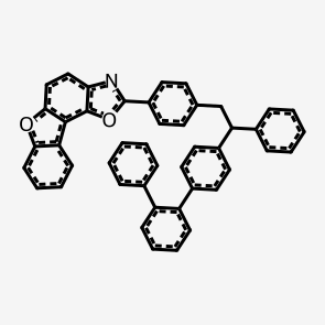 c1ccc(-c2ccccc2-c2ccc(C(Cc3ccc(-c4nc5ccc6oc7ccccc7c6c5o4)cc3)c3ccccc3)cc2)cc1